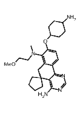 COCCN(C)c1c(OC2CCC(N)CC2)ccc2c1CC1(CCCC1)c1c(N)ncnc1-2